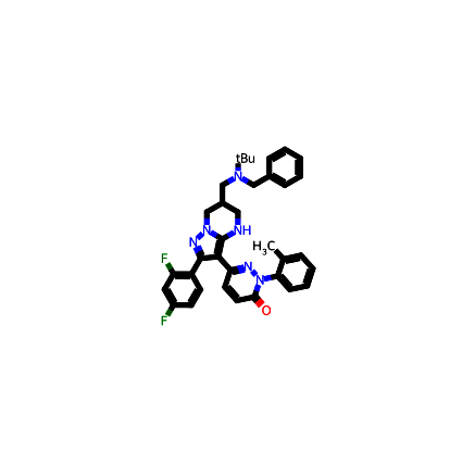 Cc1ccccc1-n1nc(-c2c(-c3ccc(F)cc3F)nn3c2NCC(CN(Cc2ccccc2)C(C)(C)C)C3)ccc1=O